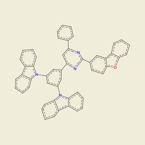 c1ccc(-c2cc(-c3cc(-n4c5ccccc5c5ccccc54)cc(-n4c5ccccc5c5ccccc54)c3)nc(-c3ccc4oc5ccccc5c4c3)n2)cc1